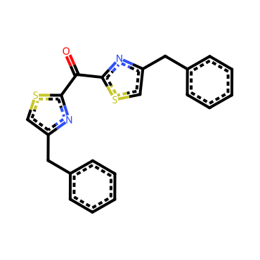 O=C(c1nc(Cc2ccccc2)cs1)c1nc(Cc2ccccc2)cs1